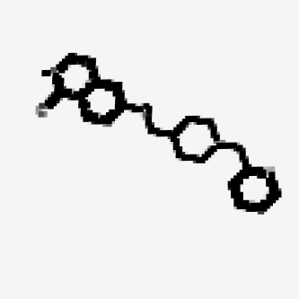 O=c1[nH]ccc2cc(OCC3CCN(Cc4ccccn4)CC3)ccc12